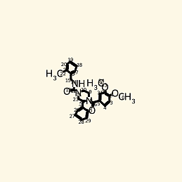 COc1ccc(C(=O)N2CCN(C(=O)NCc3ccccc3C)CC2c2ccccc2)cc1OC